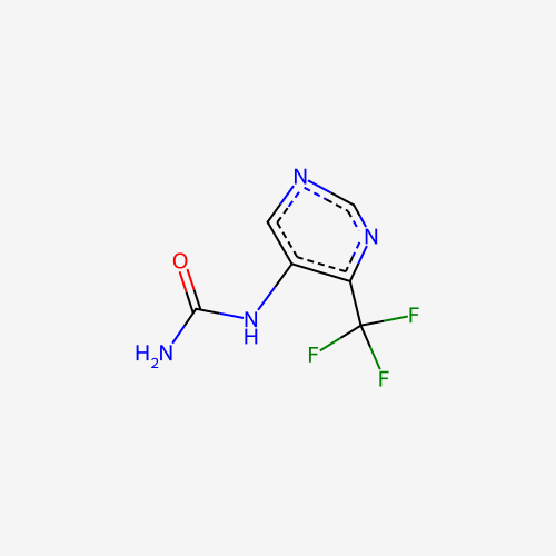 NC(=O)Nc1cncnc1C(F)(F)F